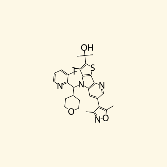 Cc1noc(C)c1-c1cnc2c3sc(C(C)(C)O)c(C)c3n(C(c3ncccc3F)C3CCOCC3)c2c1